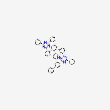 c1ccc(-c2ccc(-c3nc(-c4ccccc4)nc(-c4cccc(-c5cccc(-c6ccccc6-c6nc(-c7ccccc7)nc(-c7ccccc7)n6)c5-c5cccnc5)c4)n3)cc2)cc1